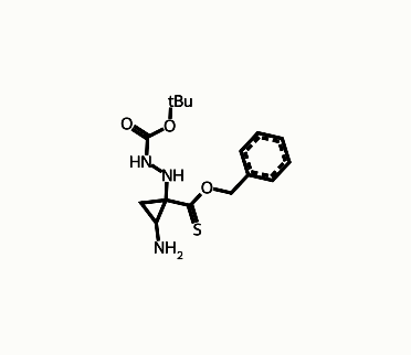 CC(C)(C)OC(=O)NNC1(C(=S)OCc2ccccc2)CC1N